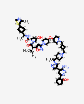 Cc1ncsc1-c1ccc([C@H](C)NC(=O)[C@@H]2C[C@@H](O)CN2C(=O)[C@@H](c2cc(N3CCC(OC4CCN(CC5CC(CN6CCC([C@H](C)n7cc(-c8cc(-c9ccccc9O)nnc8N)cn7)CC6)C5)CC4)CC3)no2)C(C)C)cc1